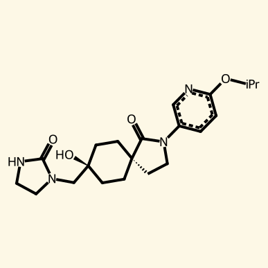 CC(C)Oc1ccc(N2CC[C@]3(CC[C@@](O)(CN4CCNC4=O)CC3)C2=O)cn1